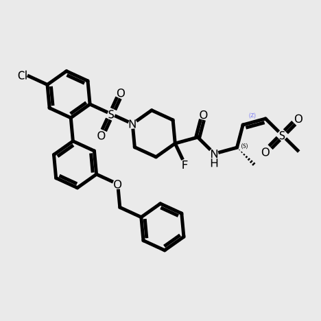 C[C@@H](/C=C\S(C)(=O)=O)NC(=O)C1(F)CCN(S(=O)(=O)c2ccc(Cl)cc2-c2cccc(OCc3ccccc3)c2)CC1